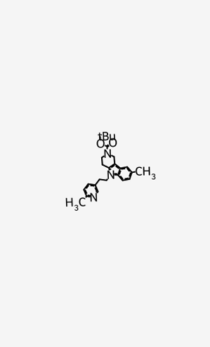 Cc1ccc2c(c1)c1c(n2CCc2ccc(C)nc2)CCN(C(=O)OC(C)(C)C)C1